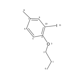 CCCOc1ccc(C)cc1I